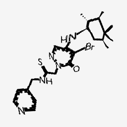 C[C@@H]1[C@@H](C)C(C)(C)[C@@H](C)C[C@H]1Nc1cnn(CC(=S)NCc2ccncc2)c(=O)c1Br